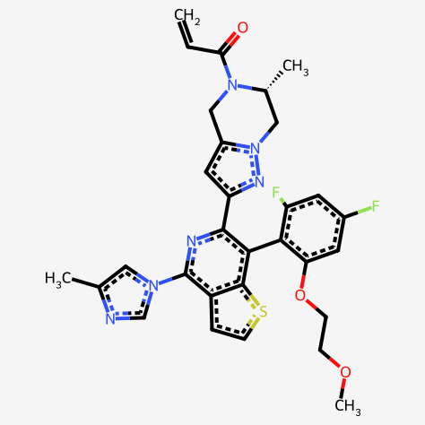 C=CC(=O)N1Cc2cc(-c3nc(-n4cnc(C)c4)c4ccsc4c3-c3c(F)cc(F)cc3OCCOC)nn2C[C@H]1C